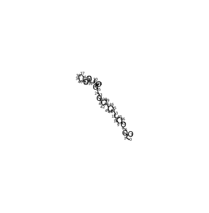 C=CC(=O)OCCOc1ccc(/C=C/c2ccc(-c3ccc(OCCCOC(=O)C(=C)CC(=O)OC4CCCCC4)cc3)cc2)cc1